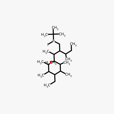 CCC(C)C(CP(I)C(C)(C)C)C(C)C(C)C(C)C(C)C(CC)C(C)C(C)C